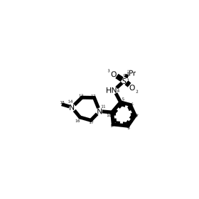 CC(C)S(=O)(=O)Nc1ccccc1N1CCN(C)CC1